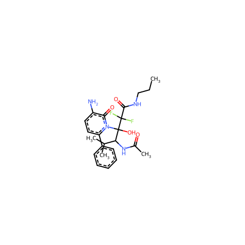 CCCNC(=O)C(F)(F)C(O)(C(NC(C)=O)C(C)C)n1c(-c2ccccc2)ccc(N)c1=O